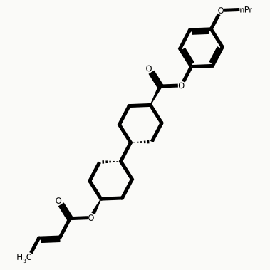 C/C=C/C(=O)O[C@H]1CC[C@H]([C@H]2CC[C@H](C(=O)Oc3ccc(OCCC)cc3)CC2)CC1